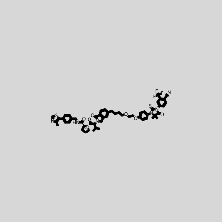 Cc1ncsc1-c1ccc(CNC(=O)[C@@H]2CCCN2C(=O)C(C(C)C)N2Cc3cc(CCCCOCCOc4ccc(N5C(=S)N(c6ccc(C#N)c(C(F)(F)F)c6)C(=O)C5(C)C)cc4)ccc3C2=O)cc1